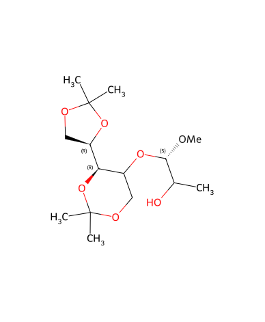 CO[C@@H](OC1COC(C)(C)O[C@H]1[C@H]1COC(C)(C)O1)C(C)O